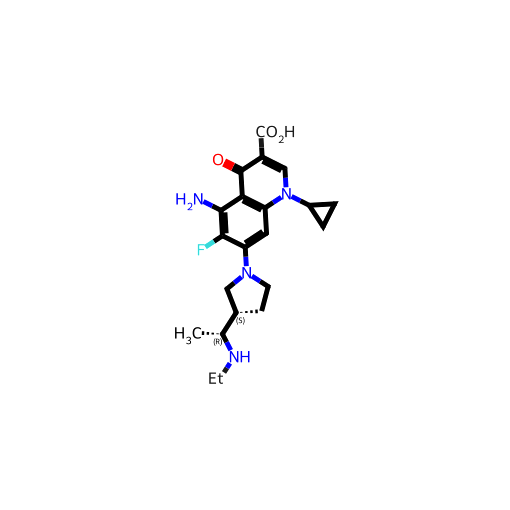 CCN[C@H](C)[C@H]1CCN(c2cc3c(c(N)c2F)c(=O)c(C(=O)O)cn3C2CC2)C1